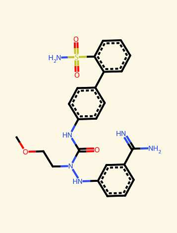 COCCN(Nc1cccc(C(=N)N)c1)C(=O)Nc1ccc(-c2ccccc2S(N)(=O)=O)cc1